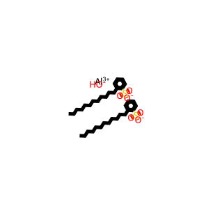 CCCCCCCCCCCCc1ccccc1S(=O)(=O)[O-].CCCCCCCCCCCCc1ccccc1S(=O)(=O)[O-].[Al+3].[OH-]